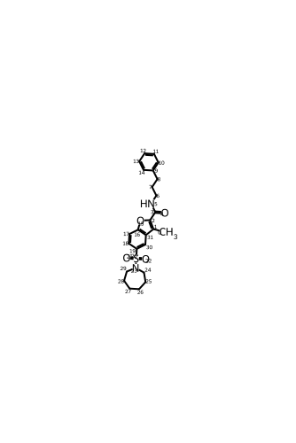 Cc1c(C(=O)NCCCc2ccccc2)oc2ccc(S(=O)(=O)N3CCCCCC3)cc12